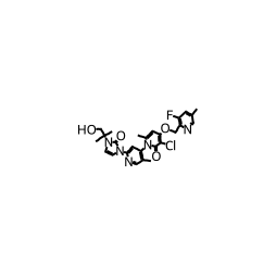 Cc1cnc(COc2cc(C)n(-c3cc(-n4ccn(C(C)(C)CO)c4=O)ncc3C)c(=O)c2Cl)c(F)c1